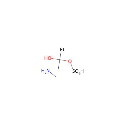 CCC(C)(O)OS(=O)(=O)O.CN